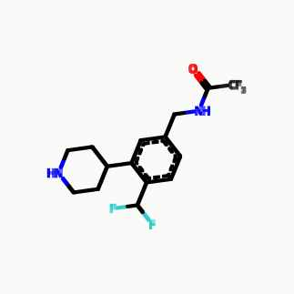 O=C(NCc1ccc(C(F)F)c(C2CCNCC2)c1)C(F)(F)F